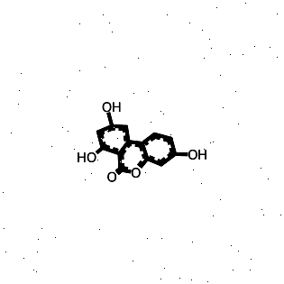 O=c1oc2cc(O)ccc2c2cc(O)cc(O)c12